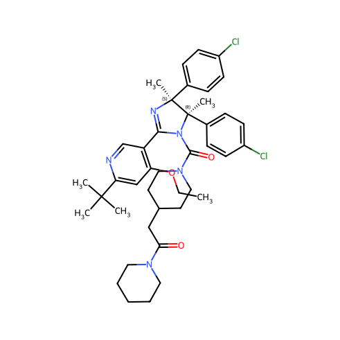 CCOc1cc(C(C)(C)C)ncc1C1=N[C@@](C)(c2ccc(Cl)cc2)[C@@](C)(c2ccc(Cl)cc2)N1C(=O)N1CCC(CC(=O)N2CCCCC2)CC1